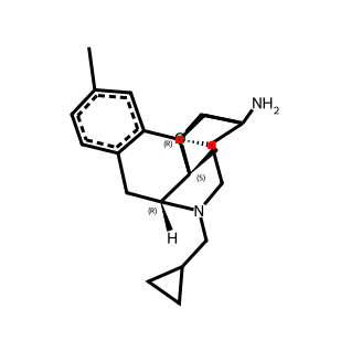 Cc1ccc2c(c1)[C@]13CCN(CC4CC4)[C@H](C2)[C@]12CCC(N)(CO2)C3